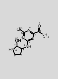 NC(=O)c1cc(NC2CCNC2O)nc(Cl)n1